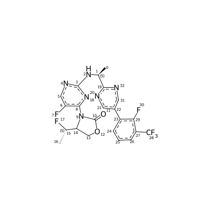 C[C@H](Nc1ncc(F)c(N2C(=O)OCC2[C@H](C)F)n1)c1ncc(-c2cccc(C(F)(F)F)c2F)cn1